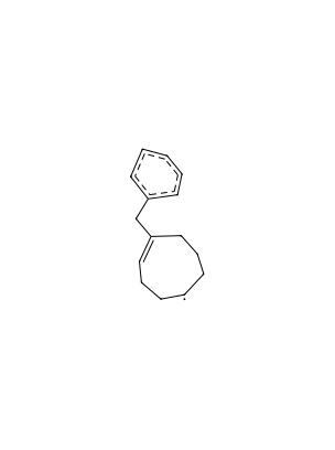 [CH]1CCC=C(Cc2ccccc2)CCC1